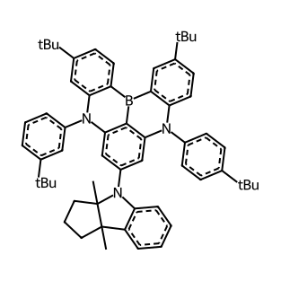 CC(C)(C)c1ccc(N2c3ccc(C(C)(C)C)cc3B3c4ccc(C(C)(C)C)cc4N(c4cccc(C(C)(C)C)c4)c4cc(N5c6ccccc6C6(C)CCCC56C)cc2c43)cc1